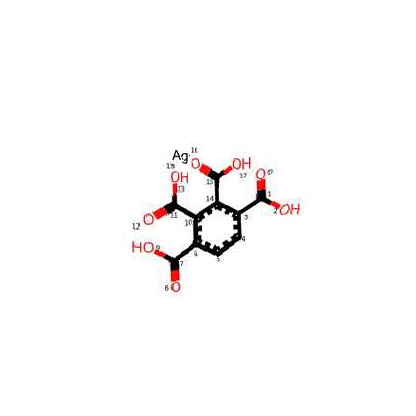 O=C(O)c1ccc(C(=O)O)c(C(=O)O)c1C(=O)O.[Ag]